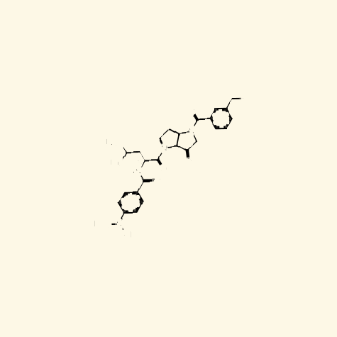 CC(C)C[C@H](NC(=O)c1ccc(N(C)C)cc1)C(=O)N1CCC2C1C(=O)CN2C(=O)c1cccc(CF)c1